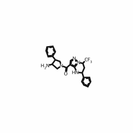 NC1CN(C(=O)c2cnn3c2NC(c2ccccc2)CC3C(F)(F)F)CC1c1ccccc1